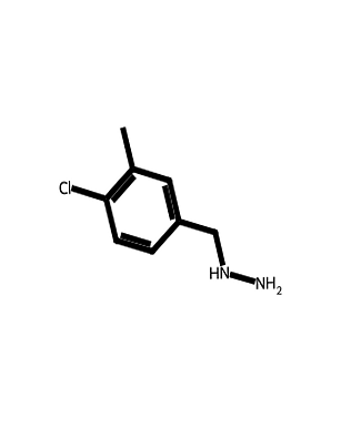 Cc1cc(CNN)ccc1Cl